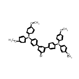 COc1ccc(N(c2ccc(OC)cc2)c2ccc(-c3cc(Br)cc(-c4ccc(N(c5ccc(OC)cc5)c5ccc(OC)cc5)cc4)c3)cc2)cc1